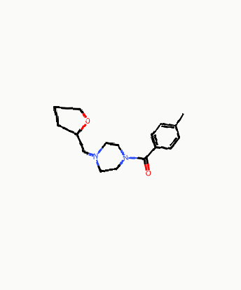 Cc1ccc(C(=O)N2CCN(CC3CCCO3)CC2)cc1